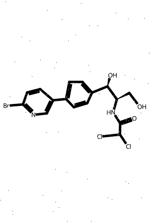 O=C(N[C@H](CO)[C@H](O)c1ccc(-c2ccc(Br)nc2)cc1)C(Cl)Cl